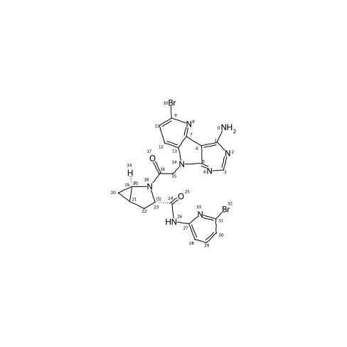 Nc1ncnc2c1c1nc(Br)ccc1n2CC(=O)N1[C@@H]2CC2C[C@H]1C(=O)Nc1cccc(Br)n1